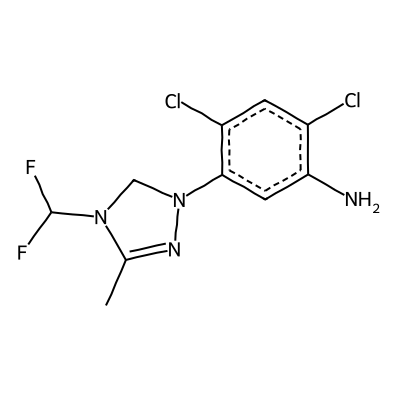 CC1=NN(c2cc(N)c(Cl)cc2Cl)CN1C(F)F